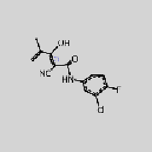 C=C(C)/C(O)=C(\C#N)C(=O)Nc1ccc(F)c(Cl)c1